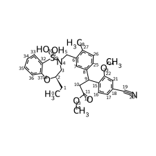 CC[C@@H]1CN(Cc2cc(C(CC(=O)OC)c3ccc(C#N)cc3OC)ccc2C)S(O)(O)c2ccccc2O1